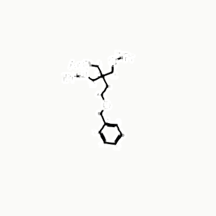 CC(=O)OCC(CCOCc1ccccc1)(COC(C)C)COC(C)C